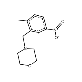 Cc1ccc([N+](=O)[O-])[c]c1CN1CCOCC1